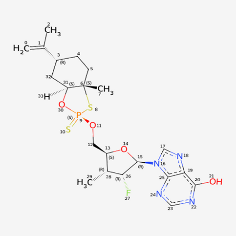 C=C(C)[C@@H]1CC[C@]2(C)S[P@@](=S)(OC[C@H]3O[C@@H](n4cnc5c(O)ncnc54)[C@H](F)[C@@H]3C)O[C@H]2C1